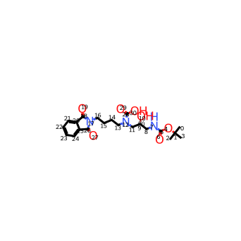 CC(C)(C)OC(=O)NC[C@@H](O)CN(CCCCN1C(=O)c2ccccc2C1=O)C(=O)O